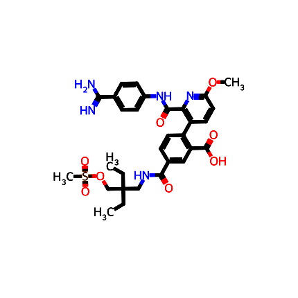 CCC(CC)(CNC(=O)c1ccc(-c2ccc(OC)nc2C(=O)Nc2ccc(C(=N)N)cc2)c(C(=O)O)c1)COS(C)(=O)=O